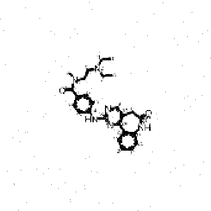 CCN(CC)CCN(C)C(=O)c1ccc(Nc2ncc3c(n2)-c2ccccc2NC(=O)C3)cc1